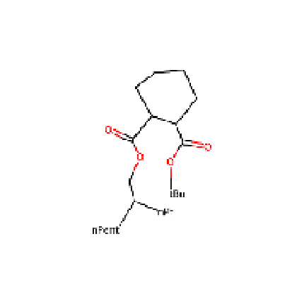 CCCCCC(CCC)COC(=O)C1CCCCC1C(=O)OC(C)(C)C